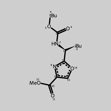 CC[C@H](C)[C@H](NC(=O)OC(C)(C)C)c1nc(C(=O)OC)co1